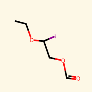 CCOC(I)COC=O